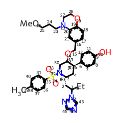 CCC(C[C@H]1C[C@H](c2ccc(O)cc2)[C@@H](OCc2ccc3c(c2)N(CCCOC)CCO3)CN1S(=O)(=O)c1ccc(C)cc1)n1cncn1